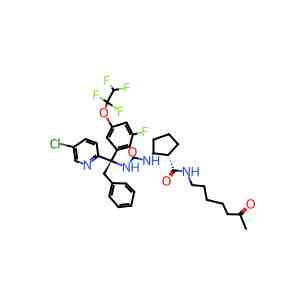 CC(=O)CCCCCNC(=O)[C@H]1CCC[C@H]1NC(=O)N[C@@](Cc1ccccc1)(c1cc(F)cc(OC(F)(F)C(F)F)c1)c1ccc(Cl)cn1